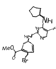 COC(=O)c1cc(Nc2ncc(F)c(NC3CCCC3)n2)ccc1Br